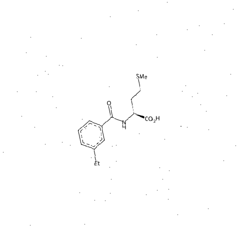 CCc1cccc(C(=O)N[C@@H](CCSC)C(=O)O)c1